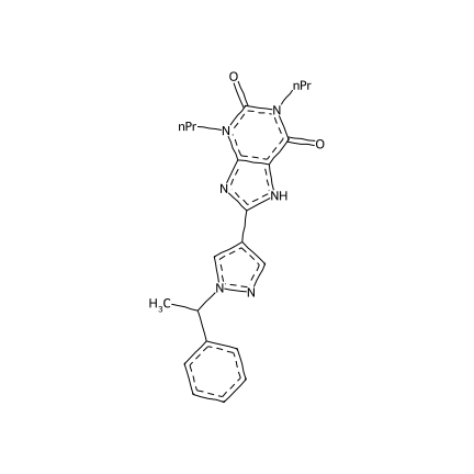 CCCn1c(=O)c2[nH]c(-c3cnn(C(C)c4ccccc4)c3)nc2n(CCC)c1=O